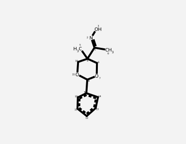 CC(=NO)C1(C)COC(c2ccccc2)OC1